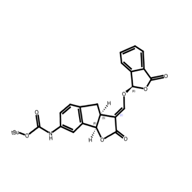 CC(C)(C)OC(=O)Nc1ccc2c(c1)[C@@H]1OC(=O)/C(=C/O[C@@H]3OC(=O)c4ccccc43)[C@@H]1C2